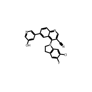 N#Cc1cnc2ccc(-c3cncc(O)c3)cc2c1N1CCc2cc(F)c(Cl)cc21